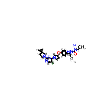 CCNC(=O)N[C@@H](C)c1ccc(O[C@@H]2CCN(c3nc(N4CCC5(CC5)C4)ncc3F)C2)cc1